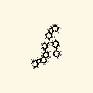 c1ccc(-c2cccc(N(c3cccc(-c4ccc5ccc6c7ccncc7oc6c5c4)c3)c3ccc4oc5ccccc5c4c3)c2)cc1